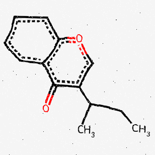 CCC(C)c1coc2ccccc2c1=O